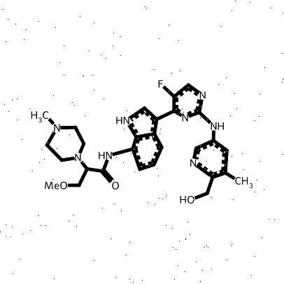 COCC(C(=O)Nc1cccc2c(-c3nc(Nc4cnc(CO)c(C)c4)ncc3F)c[nH]c12)N1CCN(C)CC1